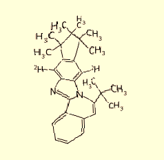 [2H]c1c2c(c([2H])c3c1nc1c4ccccc4cc(C(C)(C)C)n13)C(C)(C)C(C)(C)C2(C)C